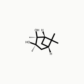 CC1(C)[C@H]2C[C@@H]1[C@](C)(O)[C@](C)(O)C2